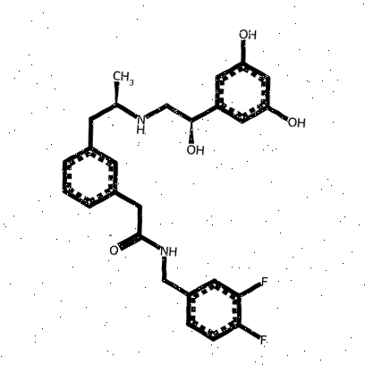 C[C@H](Cc1cccc(CC(=O)NCc2ccc(F)c(F)c2)c1)NC[C@H](O)c1cc(O)cc(O)c1